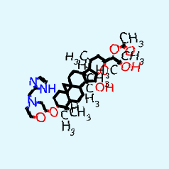 CC(=O)O[C@@H](C1C[C@@H](C)[C@H]2C(O1)[C@H](O)C1(C)C3CC[C@H]4C(C)(C)C(OC5CN(Cc6ncc[nH]6)CCO5)CCC45CC35CCC21C)C(C)(C)O